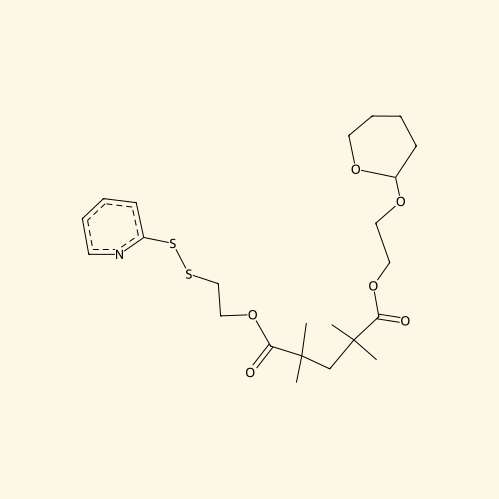 CC(C)(CC(C)(C)C(=O)OCCSSc1ccccn1)C(=O)OCCOC1CCCCO1